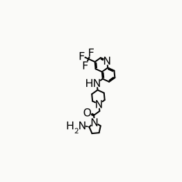 N[C@@H]1CCCN1C(=O)CN1CCC(Nc2cccc3ncc(C(F)(F)F)cc23)CC1